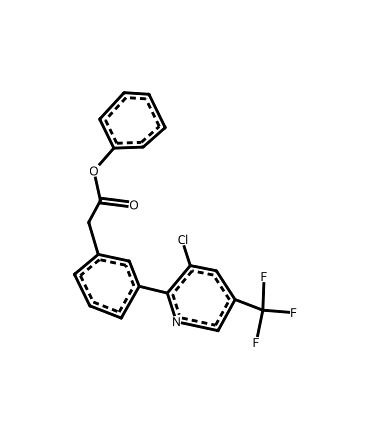 O=C(Cc1cccc(-c2ncc(C(F)(F)F)cc2Cl)c1)Oc1ccccc1